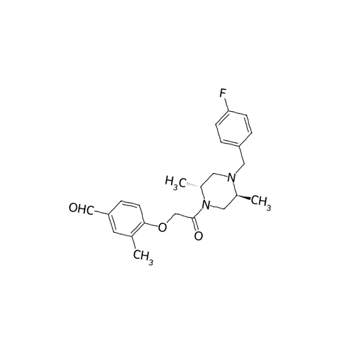 Cc1cc(C=O)ccc1OCC(=O)N1C[C@H](C)N(Cc2ccc(F)cc2)C[C@H]1C